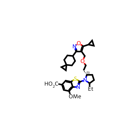 CCC1CC[C@@H](CCOCc2c(C3CCC4(CC3)CC4)noc2C2CC2)N1c1nc2c(OC)cc(C(=O)O)cc2s1